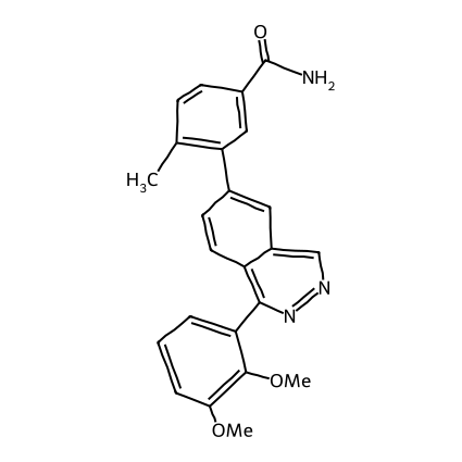 COc1cccc(-c2nncc3cc(-c4cc(C(N)=O)ccc4C)ccc23)c1OC